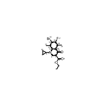 CCOC(=O)c1cn(C2CC2)c2c(C)c(Br)c(F)c(C)c2c1=O